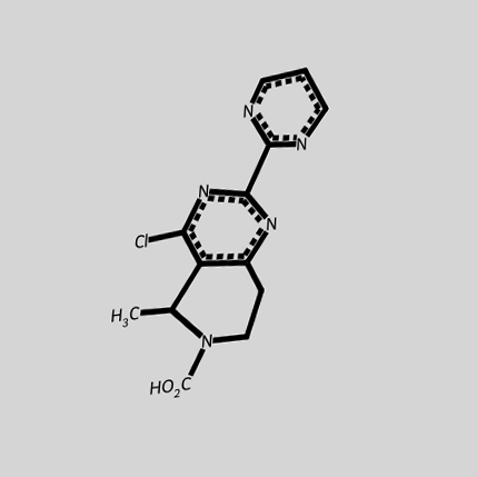 CC1c2c(Cl)nc(-c3ncccn3)nc2CCN1C(=O)O